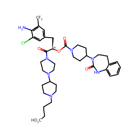 Nc1c(Cl)cc(C[C@@H](OC(=O)N2CCC(N3CCc4ccccc4NC3=O)CC2)C(=O)N2CCN(C3CCN(CCCC(=O)O)CC3)CC2)cc1C(F)(F)F